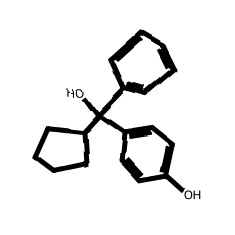 Oc1ccc(C(O)(c2ccccc2)C2CCCC2)cc1